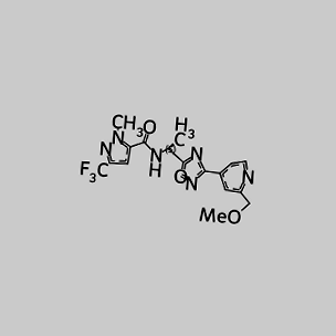 COCc1cc(-c2noc([C@H](C)NC(=O)c3cc(C(F)(F)F)nn3C)n2)ccn1